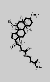 CCO[C@@H]1CC[C@]2(C)C3CC[C@@]4(C)C(CC[C@@H]4[C@H](C)CCC(=O)NCCC(=O)OC)[C@@H]3[C@H](OCC)C[C@@H]2C1